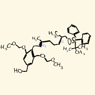 COCOc1cc(CO)cc(OCOC)c1C/C=C(\C)CC/C=C(\C)CO[Si](c1ccccc1)(c1ccccc1)C(C)(C)C